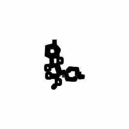 COC(=O)C(=C1Oc2cc(C)ccc2C1=O)N1CCN(C)CC1